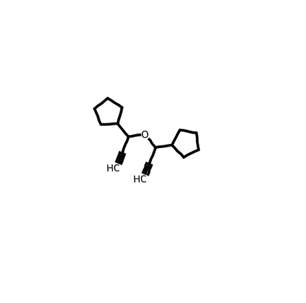 C#CC(OC(C#C)C1CCCC1)C1CCCC1